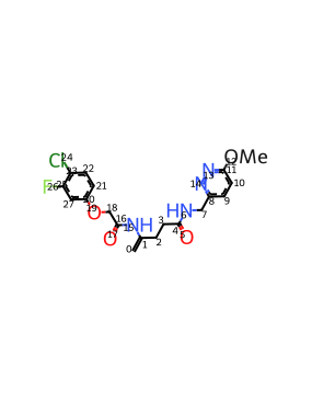 C=C(CCC(=O)NCc1ccc(OC)nn1)NC(=O)COc1ccc(Cl)c(F)c1